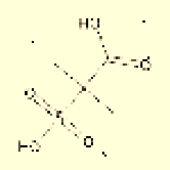 CC(C)(C(=O)O)S(=O)(=O)O